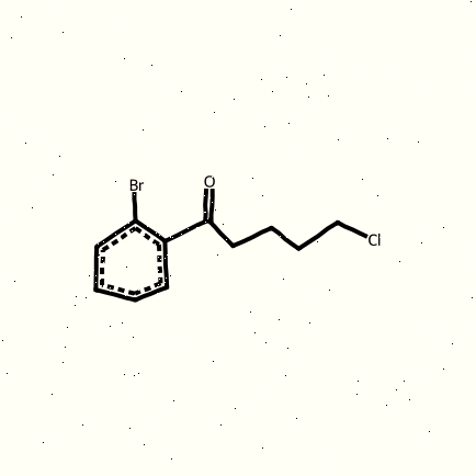 O=C(CCCCCl)c1ccccc1Br